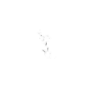 C=C1CC[C@@H](O)C/C1=C/C=C1\CCC[C@@]2(C)[C@H]1CC[C@]2(O)[C@H](C)O